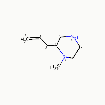 C=CCC1CNCCN1[SiH3]